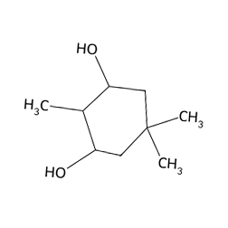 CC1C(O)CC(C)(C)CC1O